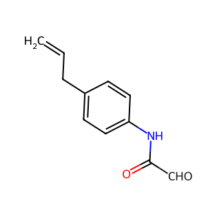 C=CCc1ccc(NC(=O)C=O)cc1